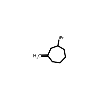 C=C1CCCCC(C(C)C)C1